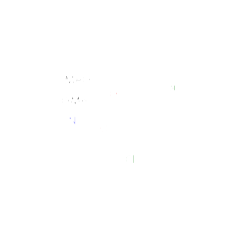 CO/N=C(/Oc1cc(CBr)ccc1Cl)C(=O)OC